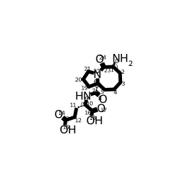 N[C@H]1CCCC[C@@]2(C(=O)N[C@@H](CCC(=O)O)C(=O)O)CCCN2C1=O